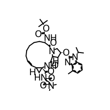 Cc1cccc2c1nc(O[C@@H]1C[C@H]3C(=O)N[C@]4(C(=O)NS(=O)(=O)N(C)C)C[C@H]4/C=C\CCCCC[C@H](NC(=O)OC(C)(C)C)C(=O)N3C1)n2C(C)C